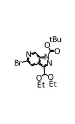 CCOC(OCC)c1nn(C(=O)OC(C)(C)C)c2cnc(Br)cc12